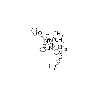 CCC(C)n1c(=O)n(CCCOC2CCCCO2)c(=O)c2c1nc(-c1ccc(OC3CC(C)C3)nc1C)n2Cc1ccccc1